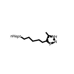 CCCCCCCCCCCCc1pn[nH]c1C